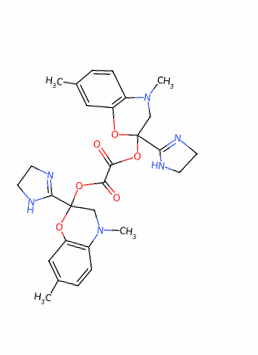 Cc1ccc2c(c1)OC(OC(=O)C(=O)OC1(C3=NCCN3)CN(C)c3ccc(C)cc3O1)(C1=NCCN1)CN2C